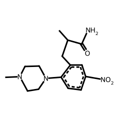 CC(Cc1cc([N+](=O)[O-])ccc1N1CCN(C)CC1)C(N)=O